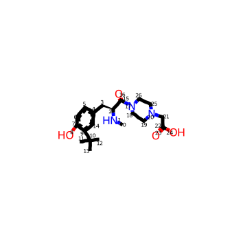 CN[C@@H](Cc1ccc(O)c(C(C)(C)C)c1)C(=O)N1CCN(CC(=O)O)CC1